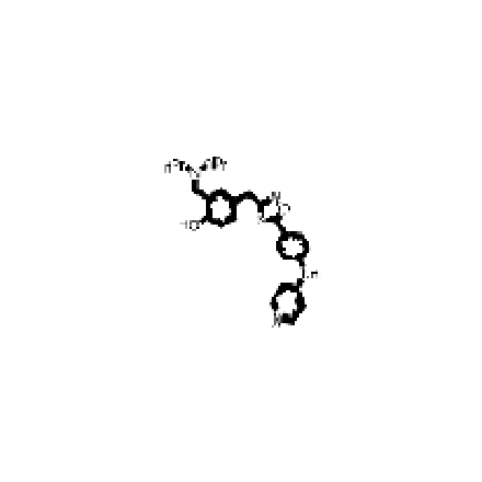 CCCN(CCC)Cc1cc(Cc2noc(-c3ccc(Nc4ccncc4)cc3)n2)ccc1O